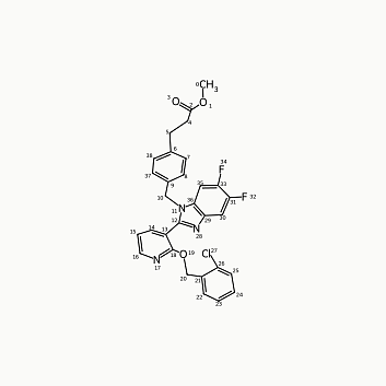 COC(=O)CCc1ccc(Cn2c(-c3cccnc3OCc3ccccc3Cl)nc3cc(F)c(F)cc32)cc1